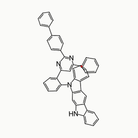 c1ccc(-c2ccc(-c3nc(-c4ccccc4)cc(-c4ccccc4-n4c5ccccc5c5cc6c(cc54)[nH]c4ccccc46)n3)cc2)cc1